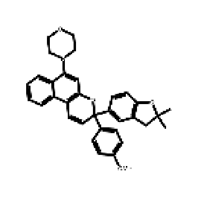 COc1ccc(C2(c3ccc4c(c3)CC(C)(C)O4)C=Cc3c(cc(N4CCOCC4)c4ccccc34)O2)cc1